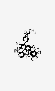 C=CC(=O)N1CCN(c2c(C#N)c(=O)n(C3C(C(C)C)=NC=C[C@H]3C)c3nc(-c4c(C)c(Cl)c(F)c(Cl)c4N)c(Cl)cc23)CC1